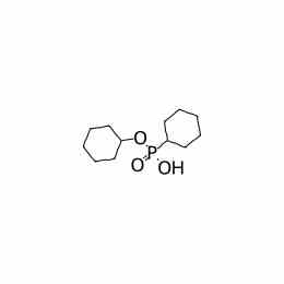 O=P(O)(OC1CCCCC1)C1CCCCC1